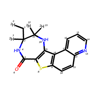 [2H]CC1([2H])NC(=O)c2sc3ccc4ncccc4c3c2NC1([2H])[2H]